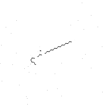 CCCCCCCCCCCCCCCCOCC(CO[C@@H]1OC(CO)[C@@H](O)[C@H](O)C1N)NC(=O)OC